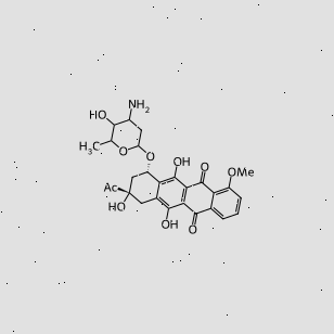 COc1cccc2c1C(=O)c1c(O)c3c(c(O)c1C2=O)C[C@@](O)(C(C)=O)C[C@@H]3OC1CC(N)C(O)C(C)O1